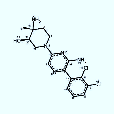 C[C@@]1(N)CCN(c2cnc(-c3cccc(Cl)c3Cl)c(N)n2)C[C@H]1O